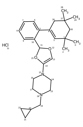 CC1(C)C=C(c2ccccc2C2OC=C(N3CCN(CC4CC4)CC3)O2)CC(C)(C)C1.Cl